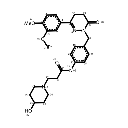 COc1ccc(C2=NN(Cc3ccc(NC(=O)CCN4CCC(O)CC4)cc3)C(=O)CC2)cc1OC(C)C